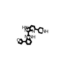 c1cc(-c2ccoc2)c2nc(-c3n[nH]c4ccc(C5CCNCC5)nc34)[nH]c2c1